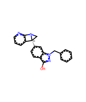 Oc1nn(Cc2ccccc2)c2cc([C@@]34CN3c3ncccc34)ccc12